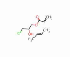 C=CC(=O)OCC(O)CCl.CC=CC